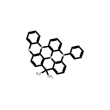 CC1(C)c2cccc3c2B2c4c(cccc4N3c3ccccc3)B3c4ccccc4Sc4ccc1c2c43